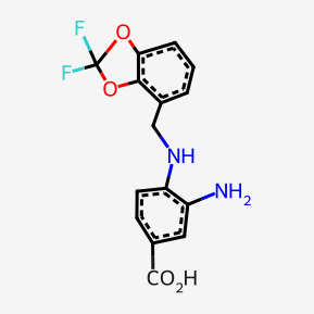 Nc1cc(C(=O)O)ccc1NCc1cccc2c1OC(F)(F)O2